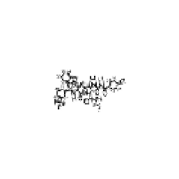 CCCNC(=O)C1CC(C)(NC(=O)NC(=O)c2ccc(Cl)cc2)c2nc(B3Oc4ccccc4O3)c(NCc3cccc(C(F)(F)F)c3)c(=O)n21